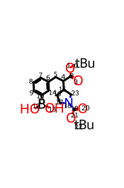 CC(C)(C)OC(=O)C(Cc1cccc(B(O)O)c1)C1CCN(C(=O)OC(C)(C)C)C1